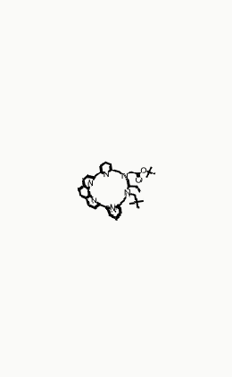 CCC1CN(CC(=O)OC(C)(C)C)Cc2cccc(n2)-c2ccc3ccc4ccc(nc4c3n2)-c2cccc(n2)CN1CC(C)(C)C